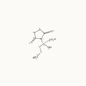 O=C(O)CCC(O)(C(=O)O)N1C(=O)CCC1=O